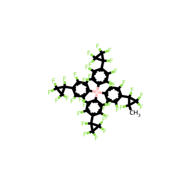 CC1(F)C(F)(F)C1(F)c1c(F)c(F)c([B-](c2c(F)c(F)c(C3(F)C(F)(F)C3(F)F)c(F)c2F)(c2c(F)c(F)c(C3(F)C(F)(F)C3(F)F)c(F)c2F)c2c(F)c(F)c(C3(F)C(F)(F)C3(F)F)c(F)c2F)c(F)c1F